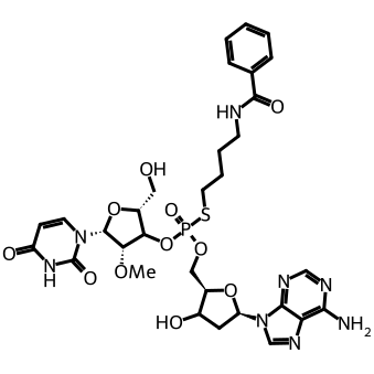 CO[C@H]1C(OP(=O)(OC[C@H]2O[C@@H](n3cnc4c(N)ncnc43)CC2O)SCCCCNC(=O)c2ccccc2)[C@@H](CO)O[C@H]1n1ccc(=O)[nH]c1=O